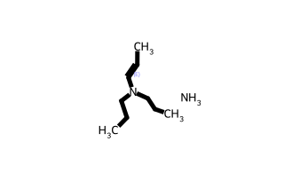 C/C=C/N(CCC)CCC.N